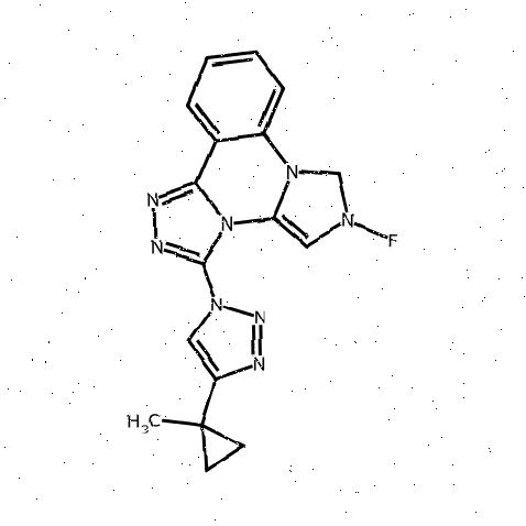 CC1(c2cn(-c3nnc4n3C3=CN(F)CN3c3ccccc3-4)nn2)CC1